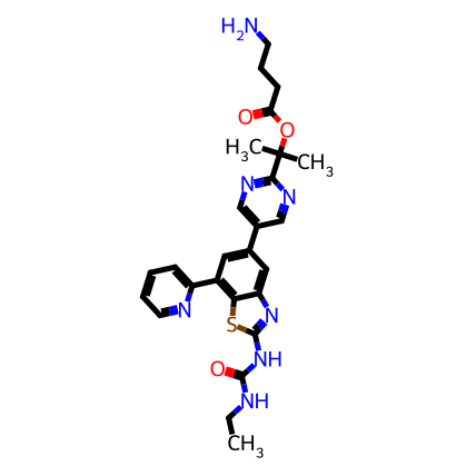 CCNC(=O)Nc1nc2cc(-c3cnc(C(C)(C)OC(=O)CCCN)nc3)cc(-c3ccccn3)c2s1